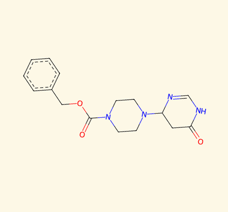 O=C1CC(N2CCN(C(=O)OCc3ccccc3)CC2)N=CN1